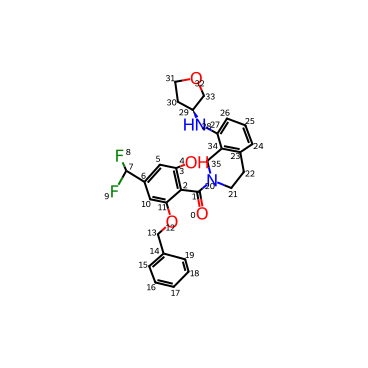 O=C(c1c(O)cc(C(F)F)cc1OCc1ccccc1)N1CCc2cccc(N[C@H]3CCOC3)c2C1